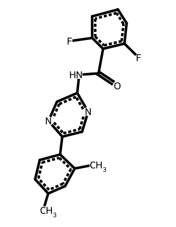 Cc1ccc(-c2cnc(NC(=O)c3c(F)cccc3F)cn2)c(C)c1